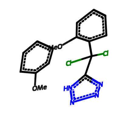 COc1ccccc1.COc1ccccc1C(Cl)(Cl)c1nnn[nH]1